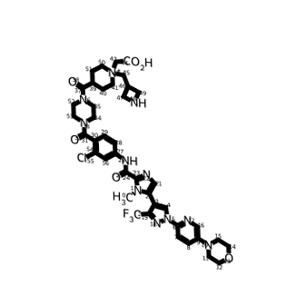 Cn1c(-c2cn(-c3ccc(N4CCOCC4)cn3)nc2C(F)(F)F)cnc1C(=O)Nc1ccc(C(=O)N2CCN(C(=O)C3CC[N+](CC(=O)O)(CC4CNC4)CC3)CC2)c(Cl)c1